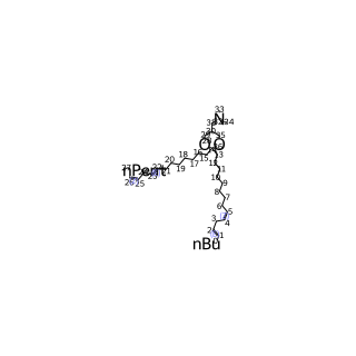 CCCC/C=C/C/C=C\CCCCCCCCC1(CCCCCCC/C=C/C/C=C\CCCCC)OCC(CN(C)C)CO1